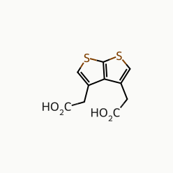 O=C(O)Cc1csc2scc(CC(=O)O)c12